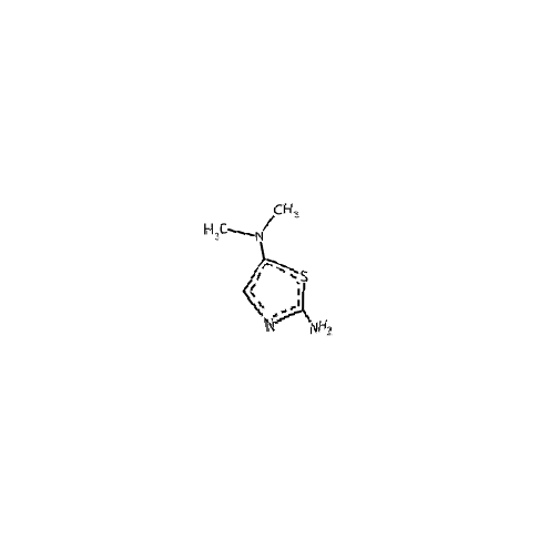 CN(C)c1cnc(N)s1